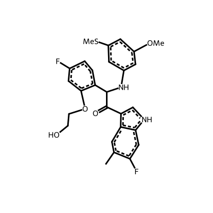 COc1cc(NC(C(=O)c2c[nH]c3cc(F)c(C)cc23)c2ccc(F)cc2OCCO)cc(SC)c1